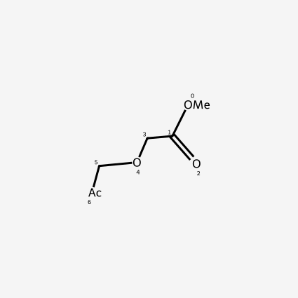 COC(=O)COCC(C)=O